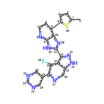 Cc1ccc(-c2ccnc3[nH]c(-c4n[nH]c5cnc(-c6cncnc6)c(F)c45)nc23)s1